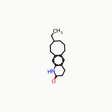 CCC1CCCc2cc3c(cc2CC1)NC(=O)CC3